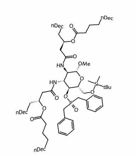 CCCCCCCCCCCCCC(=O)O[C@H](CCCCCCCCCCC)CC(=O)N[C@@H]1[C@@H](NC(=O)C[C@@H](CCCCCCCCCCC)OC(=O)CCCCCCCCCCCCC)[C@H](OC)O[C@H](CO[Si](C)(C)C(C)(C)C)[C@H]1OP(=O)(Cc1ccccc1)Cc1ccccc1